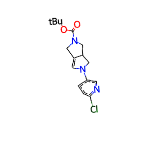 CC(C)(C)OC(=O)N1CC2=CN(c3ccc(Cl)nc3)CC2C1